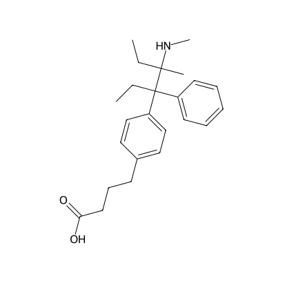 CCC(C)(NC)C(CC)(c1ccccc1)c1ccc(CCCC(=O)O)cc1